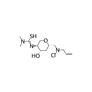 C=CCN(Cl)C[C@@H]1C[C@H](O)[C@@H](/N=C(\S)N(C)C)CO1